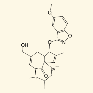 COc1ccc2onc(OC3C(C)=CC45C(=O)C(C=C(CO)CC34)C(C)(C)C(C)C[C@H]5C)c2c1